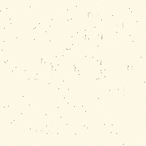 CC(C)=NN=C1SC(=NN=C(C)C)N(CCCCC[C]=O)C1=NN=C(C)C